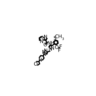 CSc1ccc(OC(F)F)c(-c2nn(Cc3cn(C4CCN(C5CCOC5)CC4)nn3)cc2NC(=O)c2cnn3cccnc23)c1